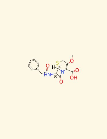 COC1=C(C(=O)O)N2C(=O)[C@@H](NC(=O)Cc3ccccc3)[C@@H]2SC1